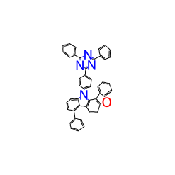 c1ccc(-c2nc(-c3ccccc3)nc(-c3ccc(-n4c5cccc(-c6ccccc6)c5c5ccc6oc7ccccc7c6c54)cc3)n2)cc1